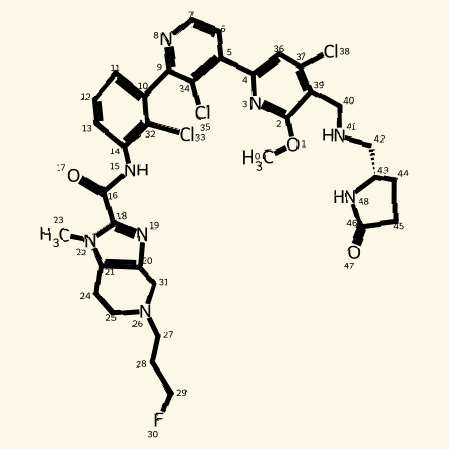 COc1nc(-c2ccnc(-c3cccc(NC(=O)c4nc5c(n4C)CCN(CCCF)C5)c3Cl)c2Cl)cc(Cl)c1CNC[C@@H]1CCC(=O)N1